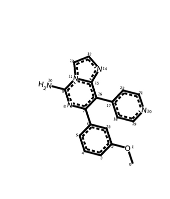 COc1cccc(-c2nc(N)n3ccnc3c2-c2ccncc2)c1